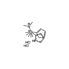 C[SiH](C)[Ti]([CH3])([CH3])([CH3])([CH3])([CH3])([CH3])([CH3])([C]1=CC=CC1)[c]1ccc[pH]1.Cl.Cl